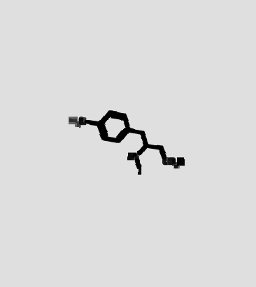 Cc1ccc(CC(CC(=O)O)NI)cc1